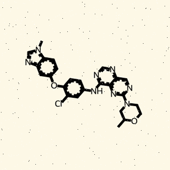 CC1CN(c2ncc3ncnc(Nc4ccc(Oc5ccc6c(c5)ncn6C)c(Cl)c4)c3n2)CCO1